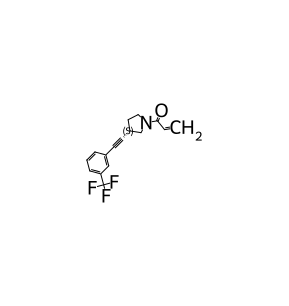 C=CC(=O)N1CC[C@@H](C#Cc2cccc(C(F)(F)F)c2)C1